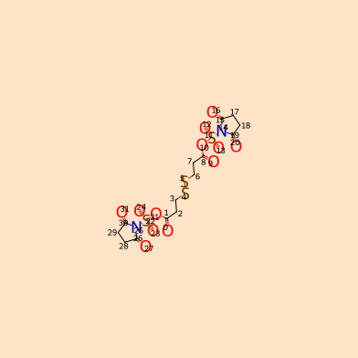 O=C(CCSSCCC(=O)OS(=O)(=O)N1C(=O)CCC1=O)OS(=O)(=O)N1C(=O)CCC1=O